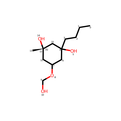 CCCCC1(O)CC(OCO)C[C@](C)(O)C1